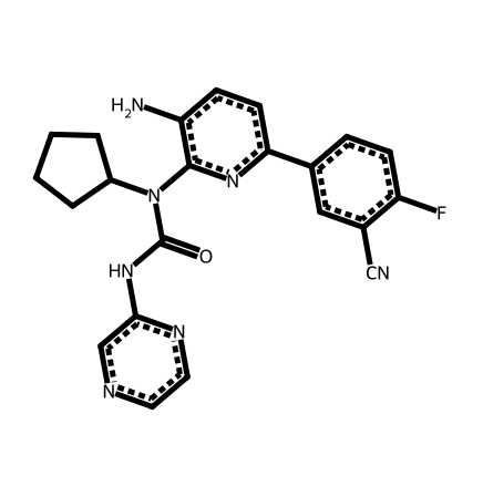 N#Cc1cc(-c2ccc(N)c(N(C(=O)Nc3cnccn3)C3CCCC3)n2)ccc1F